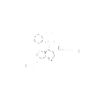 CCCC(=O)c1cnc2c(OC)csc2c1Nc1ccccc1C